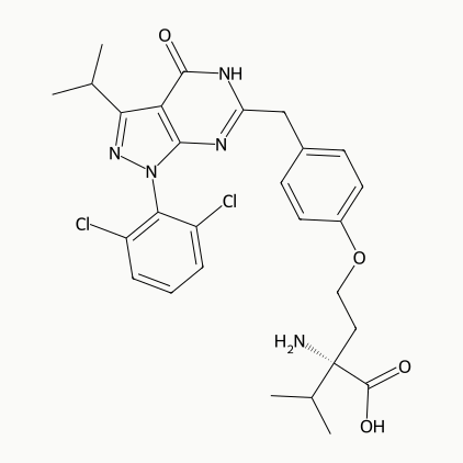 CC(C)c1nn(-c2c(Cl)cccc2Cl)c2nc(Cc3ccc(OCC[C@@](N)(C(=O)O)C(C)C)cc3)[nH]c(=O)c12